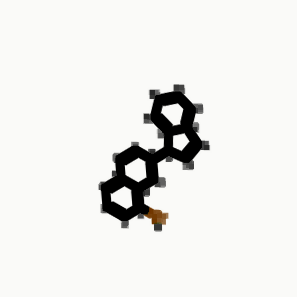 Brc1cccc2ccc(C3C=Cc4ccccc43)cc12